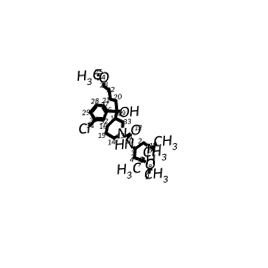 CNCC(CC(C)(C)OC)NC(=O)N1CCCC(C(O)(CCCCOC)c2cccc(Cl)c2)C1